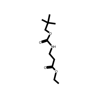 CCOC(=O)CCNC(=O)OCC(C)(C)C